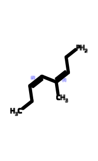 CC/C=C\C(C)=C/CP